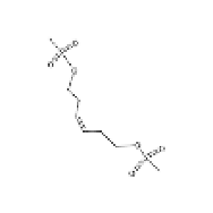 CS(=O)(=O)OCC/C=C\CCOS(C)(=O)=O